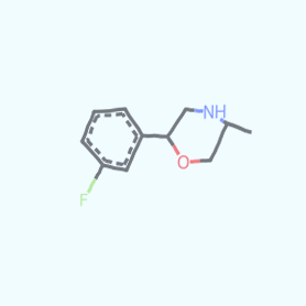 CC1COC(c2cccc(F)c2)CN1